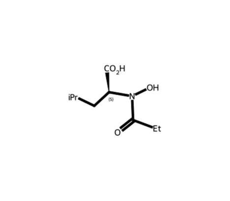 CCC(=O)N(O)[C@@H](CC(C)C)C(=O)O